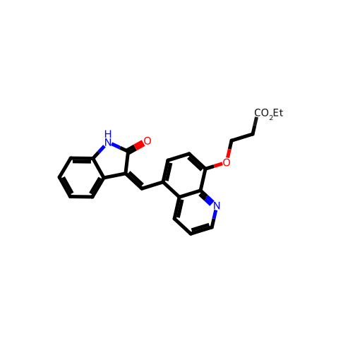 CCOC(=O)CCOc1ccc(C=C2C(=O)Nc3ccccc32)c2cccnc12